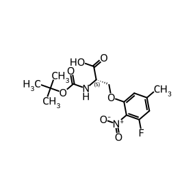 Cc1cc(F)c([N+](=O)[O-])c(OC[C@H](NC(=O)OC(C)(C)C)C(=O)O)c1